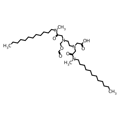 CCCCCCCCCCCCN(C)C(=O)CN(CCN(CC(=O)O)CC(=O)N(C)CCCCCCCCCCCC)COC=O